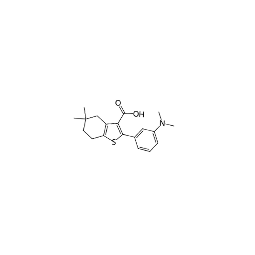 CN(C)c1cccc(-c2sc3c(c2C(=O)O)CC(C)(C)CC3)c1